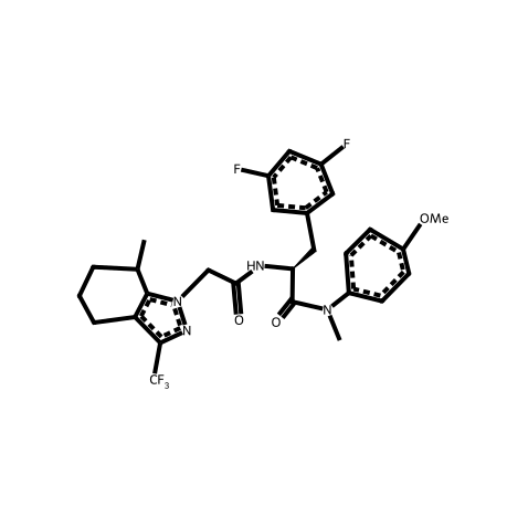 COc1ccc(N(C)C(=O)[C@H](Cc2cc(F)cc(F)c2)NC(=O)Cn2nc(C(F)(F)F)c3c2C(C)CCC3)cc1